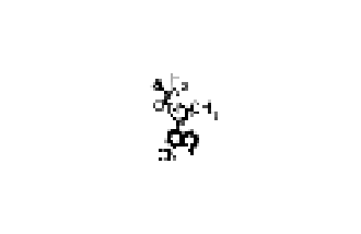 C[C@@H]1C[C@@H](c2ccc(C#N)c3ncccc23)CN(C(=O)[C@@H](N)C2CC2)C1